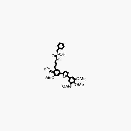 CCCOc1c(CC=CNC(=O)N(O)Cc2ccccc2)cc(C2CCC(c3cc(OC)c(OC)c(OC)c3)O2)cc1OC